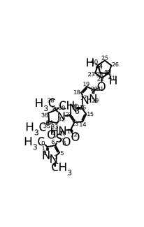 Cc1nn(C)cc1S(=O)(=O)NC(=O)c1ccc(-n2ccc(OC3C[C@H]4CC[C@H]3C4)n2)nc1N1C[C@@H](C)CC1(C)C